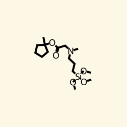 CO[Si](CCCN(C)CC(=O)OC1(C)CCCC1)(OC)OC